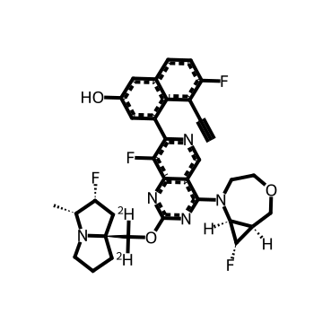 [2H]C([2H])(Oc1nc(N2CCOC[C@H]3[C@H](F)[C@H]32)c2cnc(-c3cc(O)cc4ccc(F)c(C#C)c34)c(F)c2n1)[C@@]12CCCN1[C@H](C)[C@H](F)C2